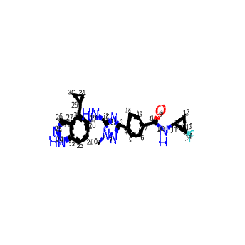 Cn1nc(-c2ccc(C(=O)NC3CC3F)cc2)nc1Nc1ccc2[nH]ncc2c1C1CC1